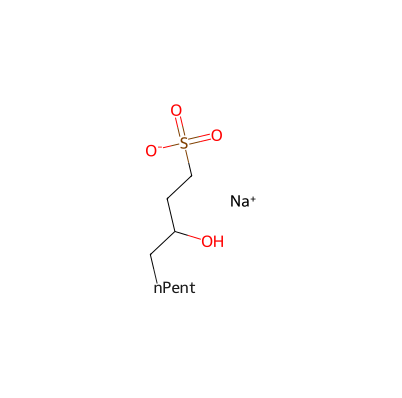 CCCCCCC(O)CCS(=O)(=O)[O-].[Na+]